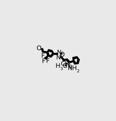 C=C(/C=C(/c1ccccc1)N(C)N)c1nc(-c2ccc(CC=O)c(C(F)(F)F)c2)no1